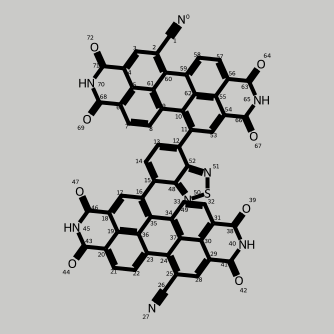 N#Cc1cc2c3c(ccc4c5c(-c6ccc(-c7cc8c9c(ccc%10c%11c(C#N)cc%12c%13c(ccc(c7c9%10)c%13%11)C(=O)NC%12=O)C(=O)NC8=O)c7nsnc67)cc6c7c(ccc(c1c34)c75)C(=O)NC6=O)C(=O)NC2=O